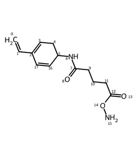 C=CC1=CCC(NC(=O)CCCC(=O)ON)C=C1